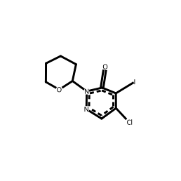 O=c1c(I)c(Cl)cnn1C1CCCCO1